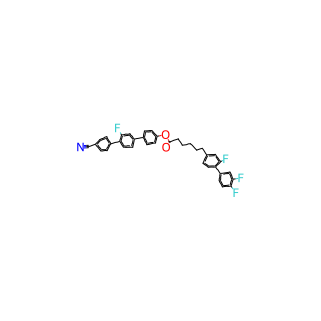 N#Cc1ccc(-c2ccc(-c3ccc(OC(=O)CCCCCc4ccc(-c5ccc(F)c(F)c5)c(F)c4)cc3)cc2F)cc1